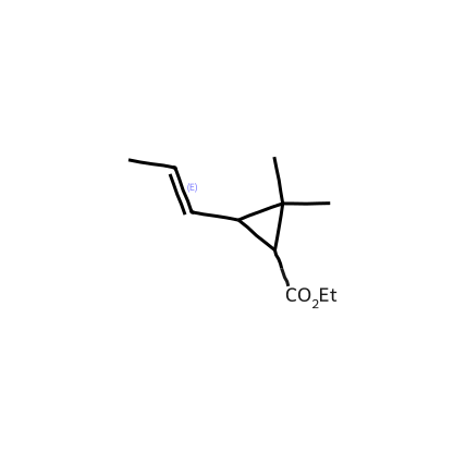 C/C=C/C1C(C(=O)OCC)C1(C)C